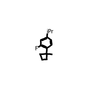 CC(C)c1ccc(C2(C)CCC2)c(F)c1